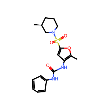 Cc1oc(S(=O)(=O)N2CCC[C@H](C)C2)cc1NC(=O)Nc1ccccc1